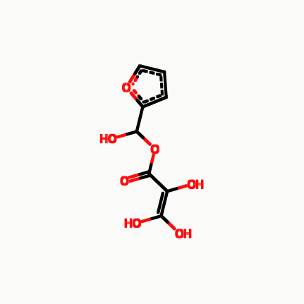 O=C(OC(O)c1ccco1)C(O)=C(O)O